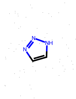 [c]1c[nH]nn1